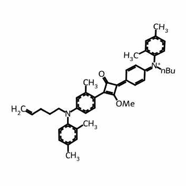 C=CCCCN(c1ccc(C2=C(OC)C(=C3C=CC(=[N+](CCCC)c4ccc(C)cc4C)C=C3)C2=O)c(C)c1)c1ccc(C)cc1C